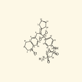 CCN1CCCc2cc(CN(C3CCCC3)S(=O)(=O)c3ccc(NS(=O)(=O)CS(C)(=O)=O)cc3)ccc21